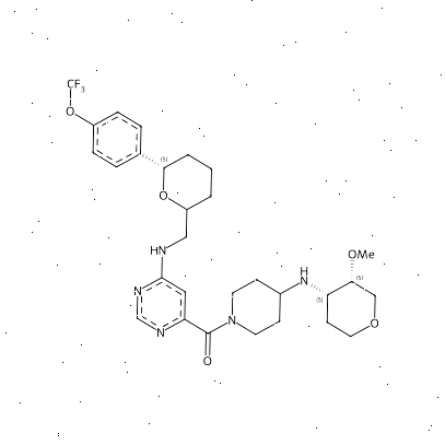 CO[C@@H]1COCC[C@@H]1NC1CCN(C(=O)c2cc(NCC3CCC[C@@H](c4ccc(OC(F)(F)F)cc4)O3)ncn2)CC1